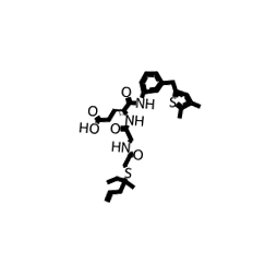 C=CCC(C)(CC)SCC(=O)NCC(=O)N[C@@H](CCC(=O)O)C(=O)Nc1cccc(Cc2cc(C)c(C)s2)c1